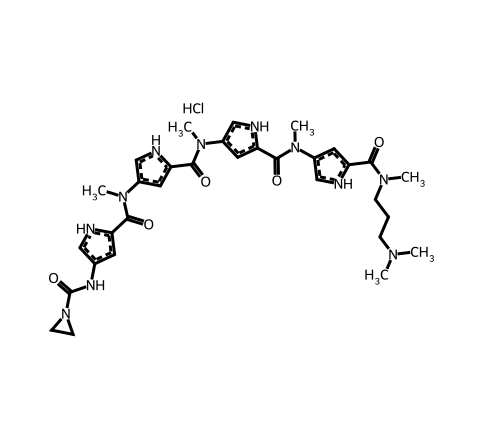 CN(C)CCCN(C)C(=O)c1cc(N(C)C(=O)c2cc(N(C)C(=O)c3cc(N(C)C(=O)c4cc(NC(=O)N5CC5)c[nH]4)c[nH]3)c[nH]2)c[nH]1.Cl